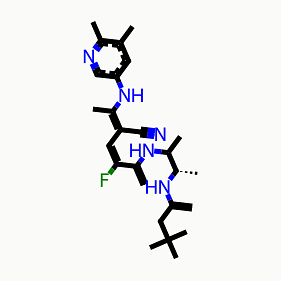 C=C(CC(C)(C)C)N[C@@H](C)C(C)NC(=C)/C(F)=C\C(C#N)=C(/C)Nc1cnc(C)c(C)c1